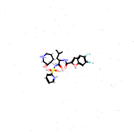 CC(C)CC(NC(=O)c1cc2cc(F)c(F)cc2o1)C(=O)N([C@H]1CCCNCC1=O)S(=O)(=O)c1ccccn1